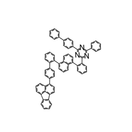 c1ccc(-c2ccc(-c3nc(-c4ccccc4)nc(-c4ccccc4-c4cccc5c(-c6ccccc6-c6ccc(-c7ccc8c9c(cccc79)-c7ccccc7-8)cc6)cccc45)n3)cc2)cc1